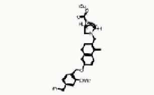 COc1cc(CC(C)C)ccc1COc1ccc2c(c1)CCC(CN1C[C@@H]3C[C@H]1CN3C(=O)OC(C)(C)C)=C2C